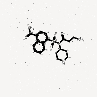 CCCC(=O)N(C1CCNCC1)S(=O)(=O)c1ccc(C(N)=O)c2ccccc12